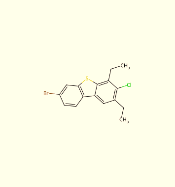 CCc1cc2c(sc3cc(Br)ccc32)c(CC)c1Cl